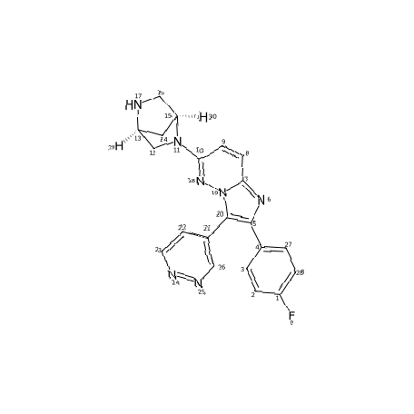 Fc1ccc(-c2nc3ccc(N4C[C@@H]5C[C@H]4CN5)nn3c2-c2ccnnc2)cc1